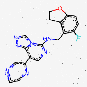 Fc1ccc2c(c1CNc1ncc(-c3cnccn3)c3nncn13)CCO2